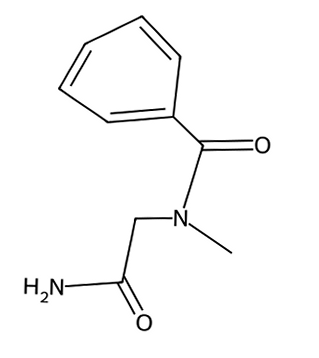 CN(CC(N)=O)C(=O)c1ccccc1